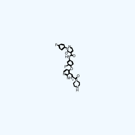 Nc1nccc(Oc2ccc(NC(=O)c3ccnn(-c4ccc(F)cc4)c3=O)cc2F)c1C=CC(=O)N1CCNCC1